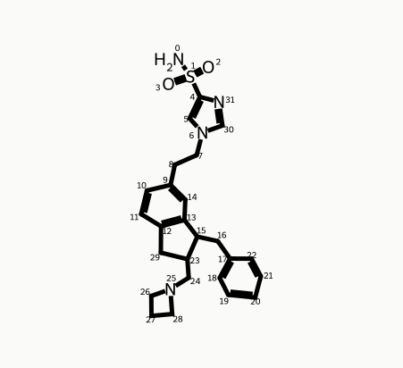 NS(=O)(=O)c1cn(CCc2ccc3c(c2)C(Cc2ccccc2)C(CN2CCC2)C3)cn1